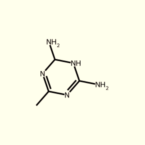 CC1=NC(N)NC(N)=N1